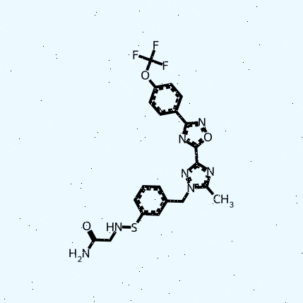 Cc1nc(-c2nc(-c3ccc(OC(F)(F)F)cc3)no2)nn1Cc1cccc(SNCC(N)=O)c1